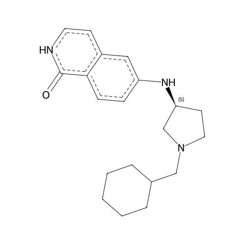 O=c1[nH]ccc2cc(N[C@H]3CCN(CC4CCCCC4)C3)ccc12